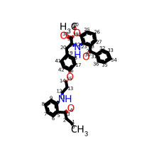 CCCC(=O)c1ccccc1NCCCOc1ccc(CC(Nc2ccccc2C(=O)c2ccccc2)C(=O)OC)cc1